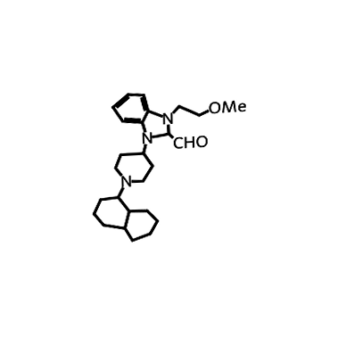 COCCN1c2ccccc2N(C2CCN(C3CCCC4CCCCC43)CC2)C1C=O